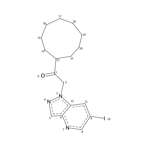 O=C(Cn1ncc2ncc(I)cc21)C1CCCCCCCC1